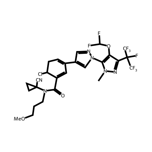 COCCCN(C(=O)C1=CC(c2cnn(-c3c(OC(F)F)c(C(F)(C(F)(F)F)C(F)(F)F)nn3C)c2)=CCC1Cl)C1(C#N)CC1